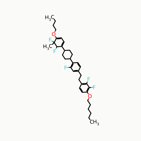 CCCCCCOc1ccc(CCc2ccc(C3CCC(C4=CC=C(OCCCC)C(C)(F)C4F)CC3)c(F)c2)c(F)c1F